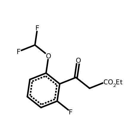 CCOC(=O)CC(=O)c1c(F)cccc1OC(F)F